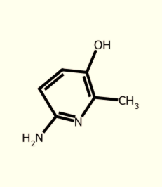 Cc1nc(N)ccc1O